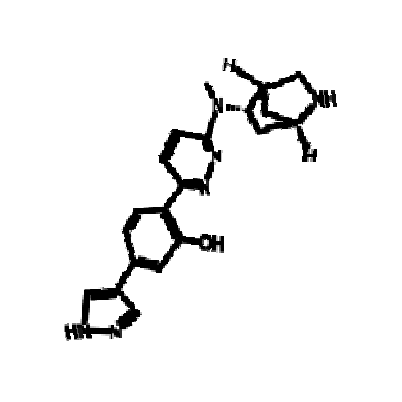 CN(c1ccc(-c2ccc(-c3cn[nH]c3)cc2O)nn1)[C@H]1C[C@@H]2C[C@H]1CN2